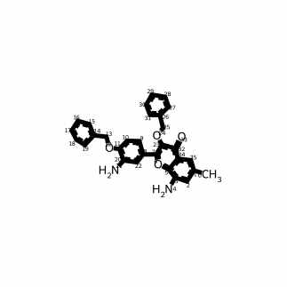 Cc1cc(N)c2oc(-c3ccc(OCc4ccccc4)c(N)c3)c(OCc3ccccc3)c(=O)c2c1